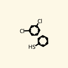 Clc1cccc(Cl)c1.Sc1ccccc1